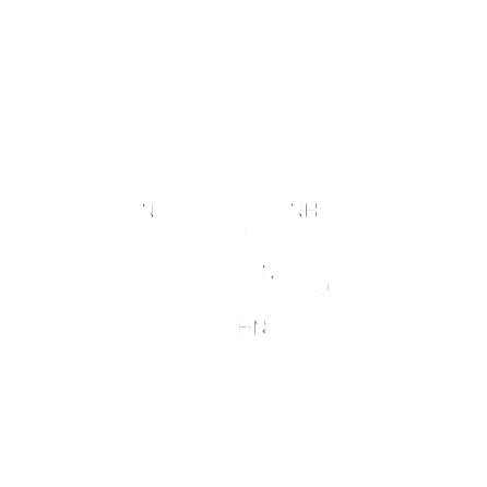 CC(C)NC1(N2NC=CO2)C=CN=CC1